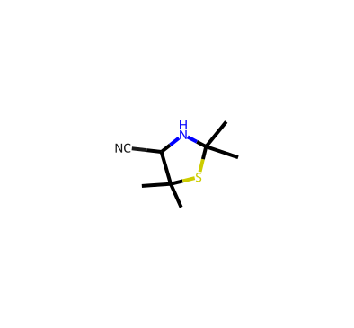 CC1(C)NC(C#N)C(C)(C)S1